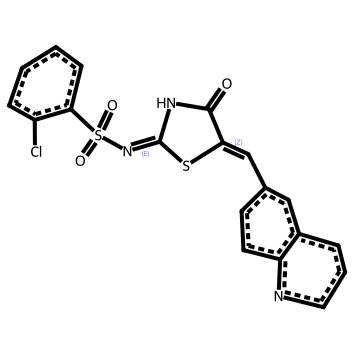 O=C1N/C(=N\S(=O)(=O)c2ccccc2Cl)S/C1=C\c1ccc2ncccc2c1